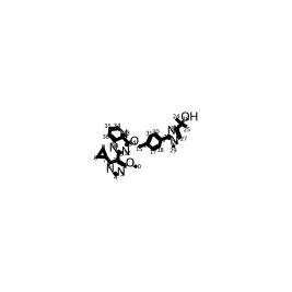 COc1ncnc(C2CC2)c1-c1nc(OCc2ccc(-c3nc(C(C)(C)O)cn3C)cc2)c2ncccc2n1